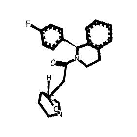 O=C(C[C@@H]1CN2CCC1CC2)N1CCc2ccccc2[C@@H]1c1ccc(F)cc1